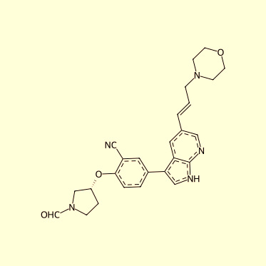 N#Cc1cc(-c2c[nH]c3ncc(C=CCN4CCOCC4)cc23)ccc1O[C@@H]1CCN(C=O)C1